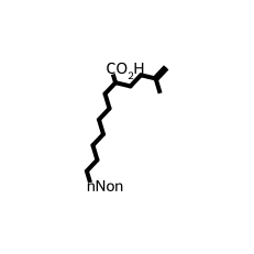 C=C(C)CCC(CCCCCCCCCCCCCCCC)C(=O)O